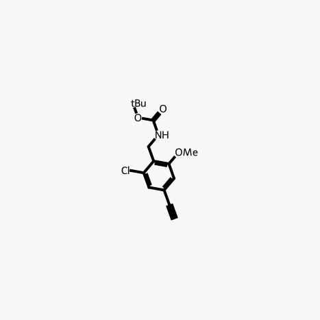 C#Cc1cc(Cl)c(CNC(=O)OC(C)(C)C)c(OC)c1